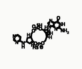 Nc1nc2c(ncn2[C@@H]2O[C@@H]3CO[P@](=O)(S)O[C@H]4C[C@H](Nc5ccncn5)C[C@@H]4CO[P@](=O)(S)O[C@@H]2[C@@H]3O)c(=O)[nH]1